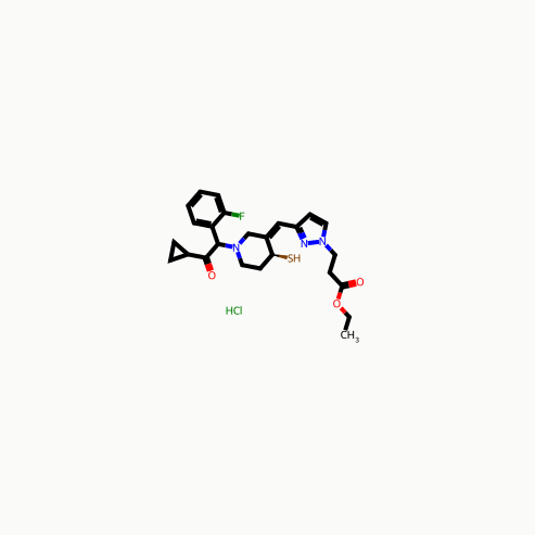 CCOC(=O)CCn1ccc(C=C2CN(C(C(=O)C3CC3)c3ccccc3F)CC[C@@H]2S)n1.Cl